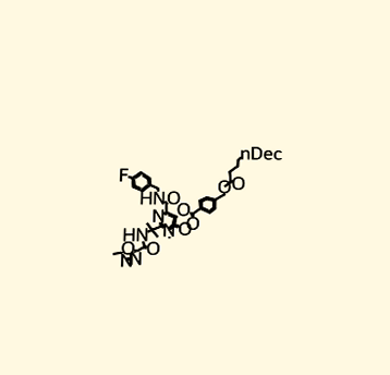 CCCCCCCCCCCCCC(=O)OCc1ccc(C(=O)Oc2c(C(=O)NCc3ccc(F)cc3)nc(C(C)(C)NC(=O)c3nnc(C)o3)n(C)c2=O)cc1